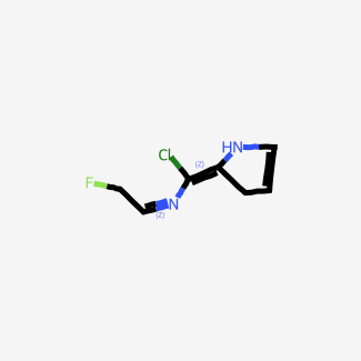 FC/C=N\C(Cl)=C1/CC=CN1